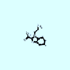 CCCn1c(C(C)=O)nc2ccccc21